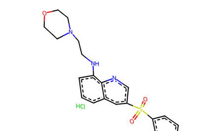 Cl.O=S(=O)(c1ccccc1)c1cnc2c(NCCN3CCOCC3)cccc2c1